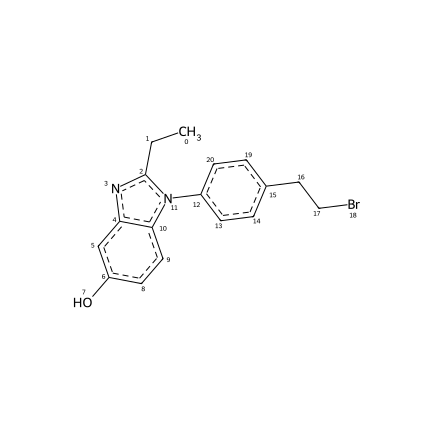 CCc1nc2cc(O)ccc2n1-c1ccc(CCBr)cc1